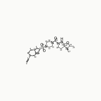 C#Cc1ccc2cc(S(=O)(=O)N3CCN(C(=O)N4CCC5=C(N4)OC(C)N5C)CC3)sc2c1